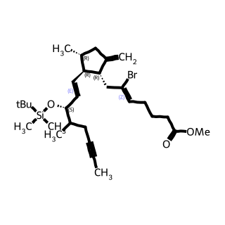 C=C1C[C@@H](C)[C@H](/C=C/[C@@H](O[Si](C)(C)C(C)(C)C)C(C)CC#CC)[C@H]1C/C(Br)=C/CCCC(=O)OC